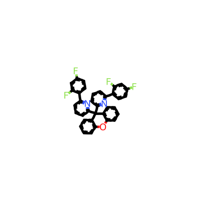 Fc1ccc(-c2cccc(C3(c4cccc(-c5ccc(F)cc5F)n4)c4ccccc4Oc4ccccc43)n2)c(F)c1